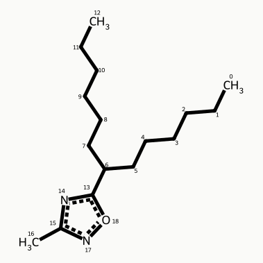 CCCCCCC(CCCCCC)c1nc(C)no1